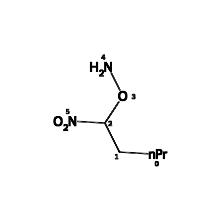 CCCCC(ON)[N+](=O)[O-]